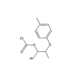 CCC(=O)OC(C(C)C)C(C)Oc1ccc(C)cc1